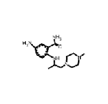 CC(CN1CCN(C)CC1)Nc1ccc(N)cc1C(N)=O